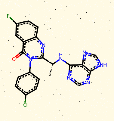 C[C@@H](Nc1ncnc2[nH]cnc12)c1nc2ccc(F)cc2c(=O)n1-c1ccc(Cl)cc1